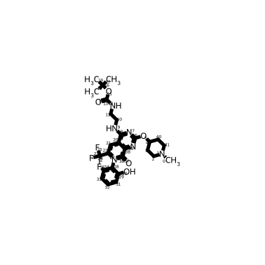 CN1CCC(Oc2nc(NCCNC(=O)OC(C)(C)C)c3cc(C(F)(F)F)n(-c4c(O)cccc4F)c(=O)c3n2)CC1